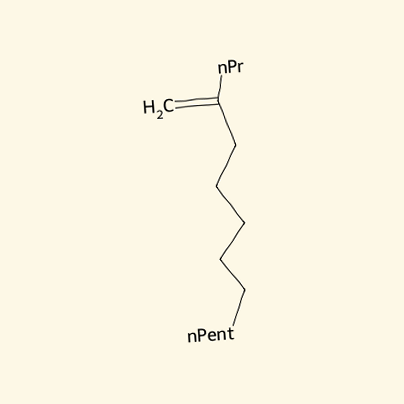 C=C(CCC)CCCCCCCCCC